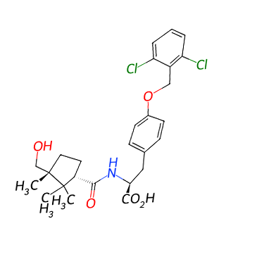 CC1(C)[C@@H](C(=O)N[C@@H](Cc2ccc(OCc3c(Cl)cccc3Cl)cc2)C(=O)O)CC[C@@]1(C)CO